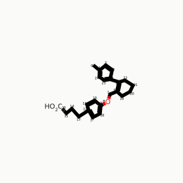 Cc1ccc(C2=C(COc3ccc(CCCC(=O)O)cc3)CCCC2)cc1